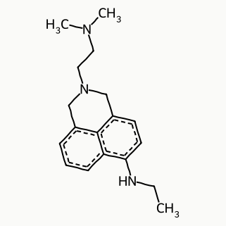 CCNc1ccc2c3c(cccc13)CN(CCN(C)C)C2